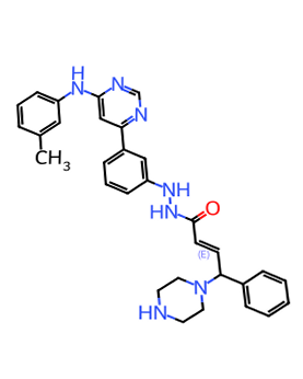 Cc1cccc(Nc2cc(-c3cccc(NNC(=O)/C=C/C(c4ccccc4)N4CCNCC4)c3)ncn2)c1